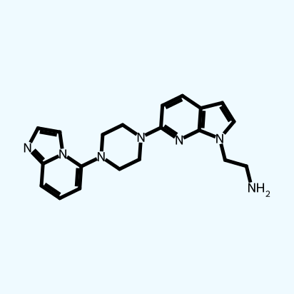 NCCn1ccc2ccc(N3CCN(c4cccc5nccn45)CC3)nc21